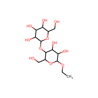 CCOC1OC(CO)C(OC2OC(CO)C(O)C(O)C2O)C(O)C1O